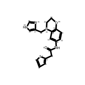 O=C(Cc1cccs1)Nc1ccc2c(c1)N(Cc1c[nH]cn1)CCO2